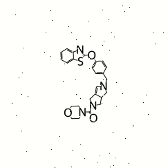 O=C(N1CCOCC1)N1CC2=CN(Cc3ccc(Oc4nc5ccccc5s4)cc3)CC2C1